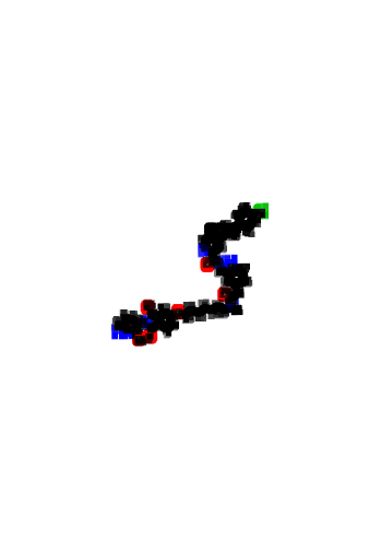 C=C1CCC(N2C(=O)c3ccc(OCCCCCCCN(C)C(=O)Cc4cccc(CNC(=O)c5cc(C6CC(c7ccc(Cl)cc7)C6)c(OC)cn5)c4)cc3C2=O)C(=O)N1